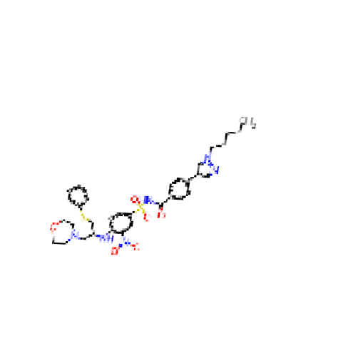 CCCCCn1cc(-c2ccc(C(=O)NS(=O)(=O)c3ccc(NC(CSc4ccccc4)CN4CCOCC4)c([N+](=O)[O-])c3)cc2)cn1